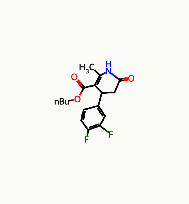 CCCCOC(=O)C1=C(C)NC(=O)CC1c1ccc(F)c(F)c1